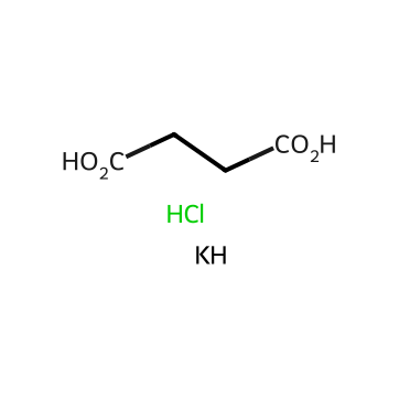 Cl.O=C(O)CCC(=O)O.[KH]